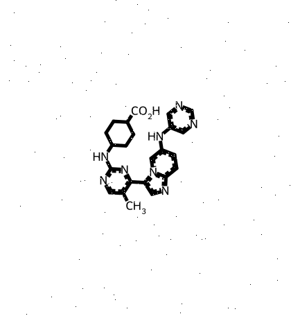 Cc1cnc(NC2CCC(C(=O)O)CC2)nc1-c1cnc2ccc(Nc3cncnc3)cn12